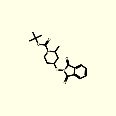 CC1CC(ON2C(=O)c3ccccc3C2=O)CCN1C(=O)OC(C)(C)C